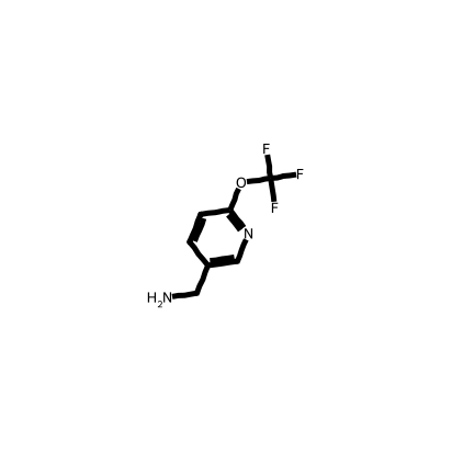 NCc1ccc(OC(F)(F)F)nc1